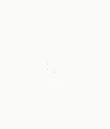 N=C(NC(=O)c1ccco1)Nc1cccc2ccccc12